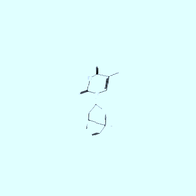 C=C[C@]1(CC)O[C@@H](n2cc(F)c(=O)[nH]c2=O)C[C@@H]1C